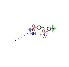 CCCCCCCCCCCC(=N)NOC(=O)c1ccc(CC(OC(=O)NC(C)(C)C)c2ccc(C(F)(F)F)cc2)cc1